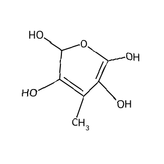 CC1=C(O)C(O)OC(O)=C1O